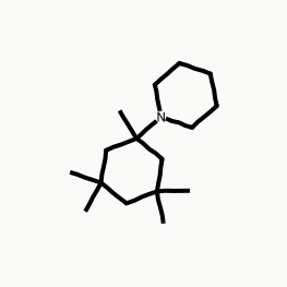 CC1(C)CC(C)(C)CC(C)(N2CCCCC2)C1